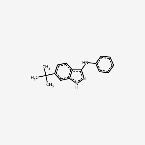 CC(C)(C)c1ccc2c(Nc3ccccc3)n[nH]c2c1